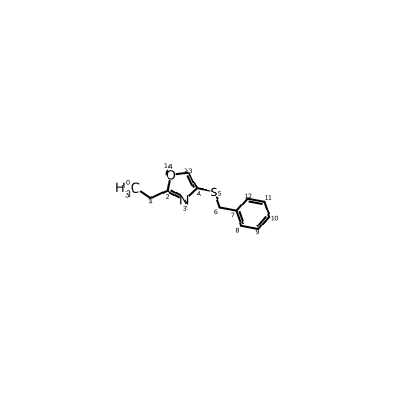 CCc1nc(SCc2ccccc2)co1